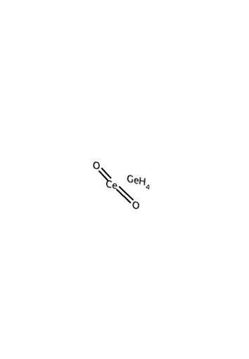 [GeH4].[O]=[Ce]=[O]